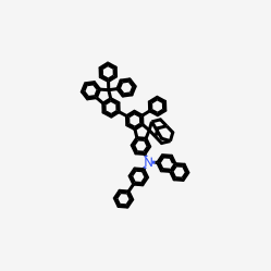 c1ccc(-c2ccc(N(c3ccc4c(c3)C3(c5c(-c6ccccc6)cc(-c6ccc7c(c6)C(c6ccccc6)(c6ccccc6)c6ccccc6-7)cc5-4)C4CC5CC(C4)CC3C5)c3ccc4ccccc4c3)cc2)cc1